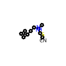 N#Cc1ccc2sc3cc(-c4nc(-c5ccccc5)nc(-c5cccc(-c6ccc(-c7ccc8c(c7)C7(c9ccccc9-c9ccccc97)c7ccccc7-8)cc6)c5)n4)ccc3c2c1